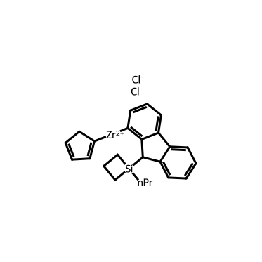 CCC[Si]1(C2c3ccccc3-c3ccc[c]([Zr+2][C]4=CC=CC4)c32)CCC1.[Cl-].[Cl-]